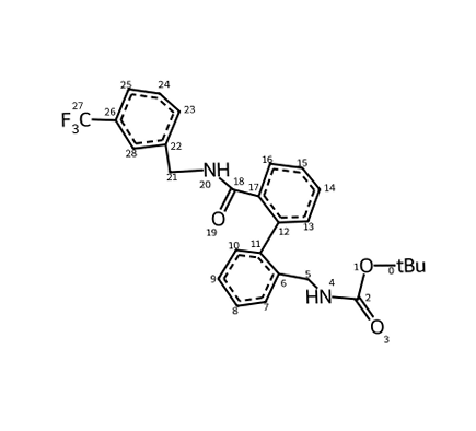 CC(C)(C)OC(=O)NCc1ccccc1-c1ccccc1C(=O)NCc1cccc(C(F)(F)F)c1